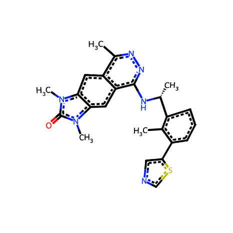 Cc1c(-c2cncs2)cccc1[C@@H](C)Nc1nnc(C)c2cc3c(cc12)n(C)c(=O)n3C